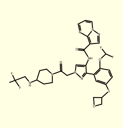 CC(F)(F)CNC1CCN(C(=O)Cn2cc(NC(=O)c3cnn4cccnc34)c(-c3cc(SC4COC4)ccc3OC(F)F)n2)CC1